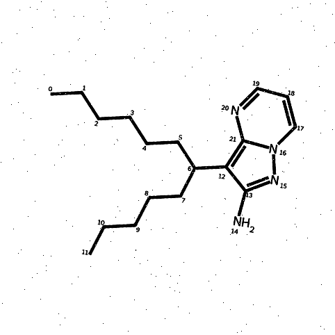 CCCCCCC(CCCCC)c1c(N)nn2cccnc12